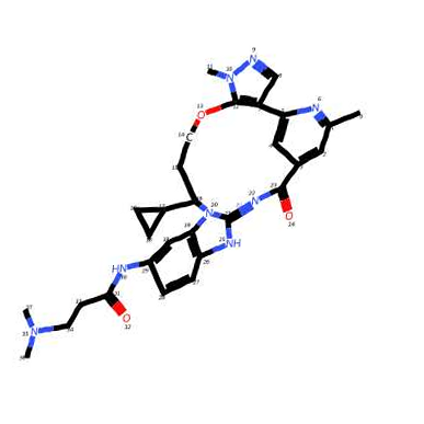 Cc1cc2cc(n1)-c1cnn(C)c1OCCC(C1CC1)N1/C(=N/C2=O)Nc2ccc(NC(=O)CCN(C)C)cc21